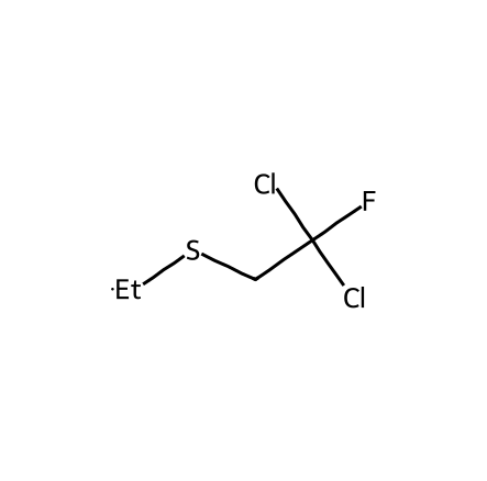 C[CH]SCC(F)(Cl)Cl